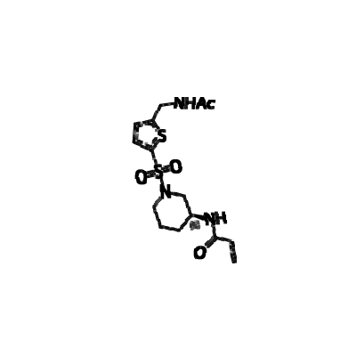 C=CC(=O)N[C@H]1CCCN(S(=O)(=O)c2ccc(CNC(C)=O)s2)C1